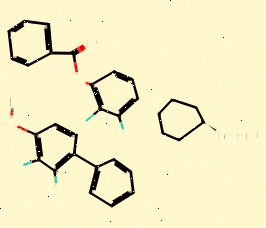 CCCCC[C@H]1CC[C@H](c2ccc(OC(=O)c3ccccc3)c(F)c2F)CC1.CCOc1ccc(-c2ccccc2)c(F)c1F